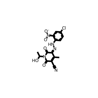 CC1=C(C#N)C(=O)N(C(C)O)C(=O)/C1=N\Nc1ccc(Cl)cc1[N+](=O)[O-]